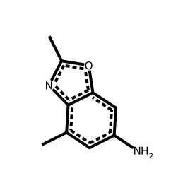 Cc1nc2c(C)cc(N)cc2o1